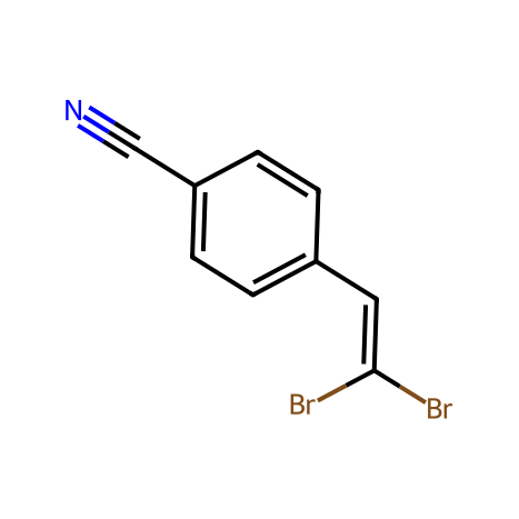 N#Cc1ccc(C=C(Br)Br)cc1